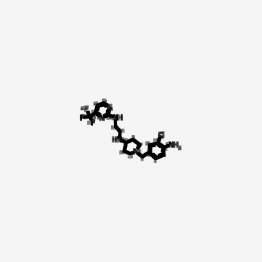 Nc1ccc(CN2CCC(NCCNc3nccc(C(F)(F)F)n3)CC2)cc1Cl